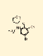 N#Cc1cc(Br)ccc1O[C@H]1CCCC[C@H]1NC(=O)O